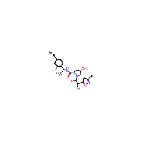 C#Cc1ccc([C@H](C)NC(=O)[C@@H]2C[C@@H](O)CN2C(=O)C(c2cc(C(C)C)no2)C(C)C)c(Cl)c1